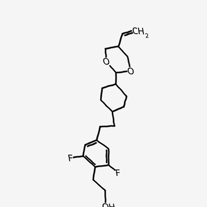 C=CC1COC(C2CCC(CCc3cc(F)c(CCO)c(F)c3)CC2)OC1